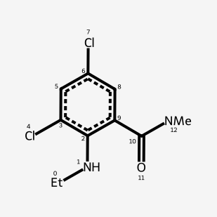 CCNc1c(Cl)cc(Cl)cc1C(=O)NC